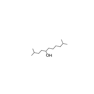 CC(C)CCCCC(O)CCC(C)C